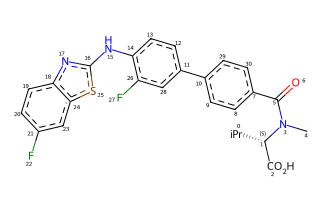 CC(C)[C@@H](C(=O)O)N(C)C(=O)c1ccc(-c2ccc(Nc3nc4ccc(F)cc4s3)c(F)c2)cc1